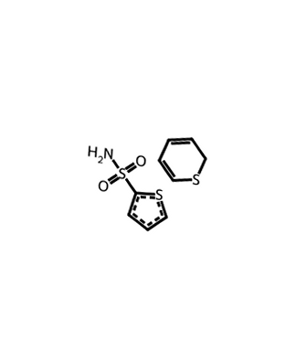 C1=CCSC=C1.NS(=O)(=O)c1cccs1